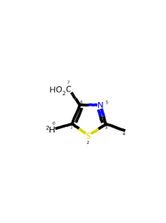 [2H]c1sc(C)nc1C(=O)O